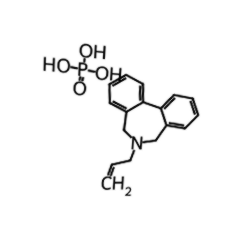 C=CCN1Cc2ccccc2-c2ccccc2C1.O=P(O)(O)O